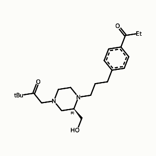 CCC(=O)c1ccc(CCCN2CCN(CC(=O)C(C)(C)C)C[C@@H]2CO)cc1